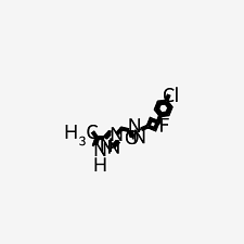 CC1=CNN2N=CN(Cc3nc(C4CC(F)(c5ccc(Cl)cc5)C4)no3)C=C12